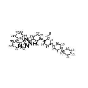 C=Cc1cc(-c2ccc(-c3ccccc3)cc2)ccc1-c1cccc(/C(=N/C(C)(c2ccccc2)c2ccccc2)NN)c1C